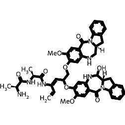 C=C/C(=C\C(COc1cc2c(cc1OC)C(=O)N1c3ccccc3C[C@H]1CN2)Oc1cc2c(cc1OC)C(=O)N1c3ccccc3C[C@H]1C(O)N2)NC(=O)[C@H](C)NC(=O)[C@H](C)N